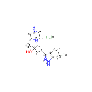 CC(O)(CCc1n[nH]c2cc(F)ccc12)CN1CCNCC1.Cl